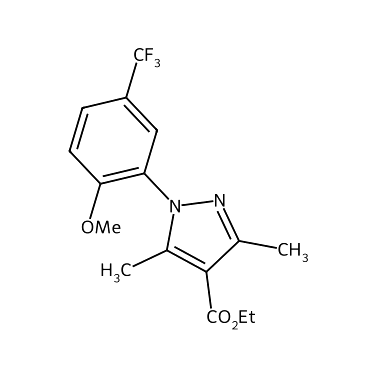 CCOC(=O)c1c(C)nn(-c2cc(C(F)(F)F)ccc2OC)c1C